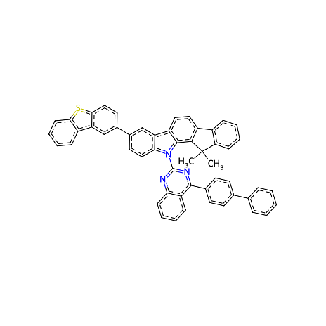 CC1(C)c2ccccc2-c2ccc3c4cc(-c5ccc6sc7ccccc7c6c5)ccc4n(-c4nc(-c5ccc(-c6ccccc6)cc5)c5ccccc5n4)c3c21